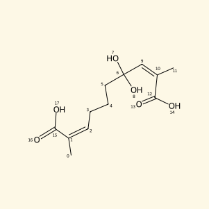 CC(=CCCCC(O)(O)C=C(C)C(=O)O)C(=O)O